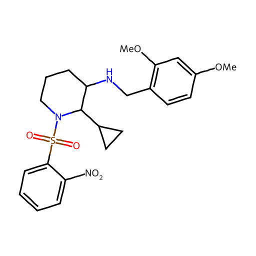 COc1ccc(CNC2CCCN(S(=O)(=O)c3ccccc3[N+](=O)[O-])C2C2CC2)c(OC)c1